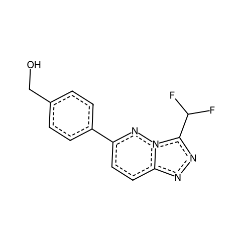 OCc1ccc(-c2ccc3nnc(C(F)F)n3n2)cc1